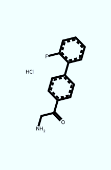 Cl.NCC(=O)c1ccc(-c2ccccc2F)cc1